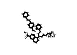 COC(=O)c1ccc2c(c1)CCCC2N(CCCCc1nnn[nH]1)CCc1ccccc1OCc1ccc(CCc2ccccc2)cc1